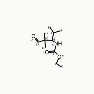 CCOC(=O)NC(C(C)C)C(C)(C)C=O